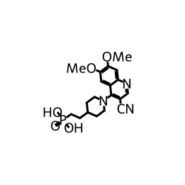 COc1cc2ncc(C#N)c(N3CCC(CCP(=O)(O)O)CC3)c2cc1OC